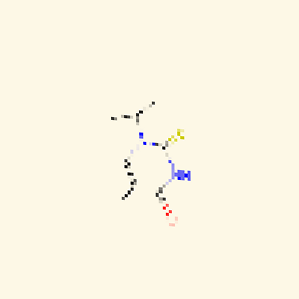 Cc1cn(C(C)C)c(=S)[nH]c1=O